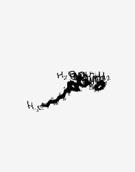 CCCCCCCCCc1ccc(C(CC(O)C(C)Sc2ccccc2N)C(=O)O)cc1.O